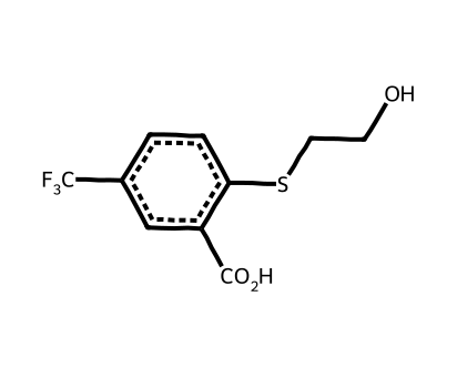 O=C(O)c1cc(C(F)(F)F)ccc1SCCO